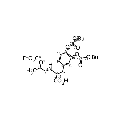 CCOC(=O)OC(C)CN[C@@H](Cc1ccc(OC(=O)OCC(C)C)c(OC(=O)OCC(C)C)c1)C(=O)O